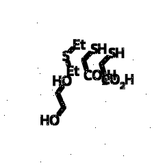 CCSCC.O=C(O)CS.O=C(O)CS.OCCO